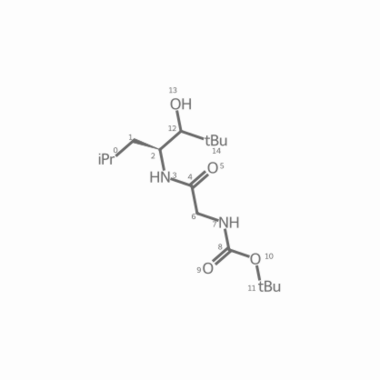 CC(C)C[C@H](NC(=O)CNC(=O)OC(C)(C)C)C(O)C(C)(C)C